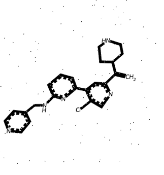 C=C(c1cc(-c2cccc(NCc3ccncc3)n2)c(Cl)cn1)C1CCNCC1